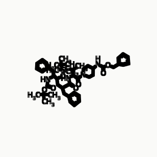 CC(C)C(NC(=O)C(Cc1ccccc1)CC(O[Si](C)(C)C(C)(C)C)C(Cc1ccccc1)NC(=O)OC(C)(C)C)C(=O)N1CCC(NC(=O)OCc2ccccc2)CC1